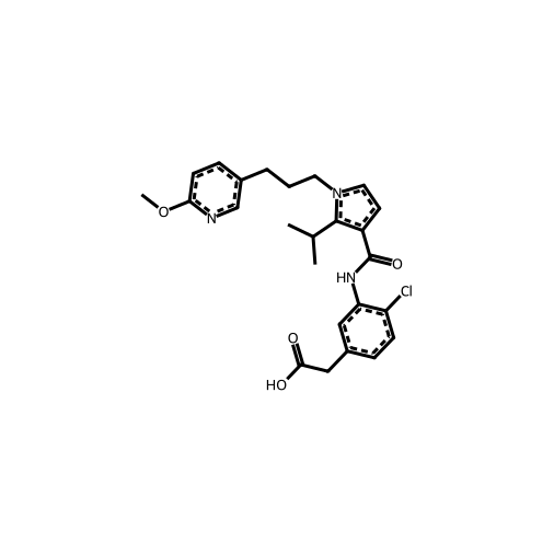 COc1ccc(CCCn2ccc(C(=O)Nc3cc(CC(=O)O)ccc3Cl)c2C(C)C)cn1